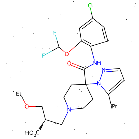 CCOC[C@@H](CN1CCC(C(=O)Nc2ccc(Cl)cc2OC(F)F)(n2nccc2C(C)C)CC1)C(=O)O